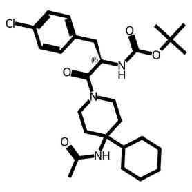 CC(=O)NC1(C2CCCCC2)CCN(C(=O)[C@@H](Cc2ccc(Cl)cc2)NC(=O)OC(C)(C)C)CC1